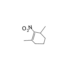 CC1=C([N+](=O)[O-])C(C)CCC1